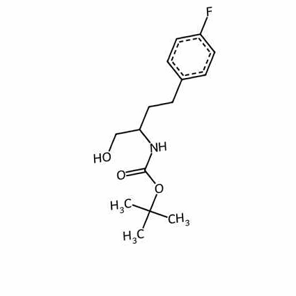 CC(C)(C)OC(=O)NC(CO)CCc1ccc(F)cc1